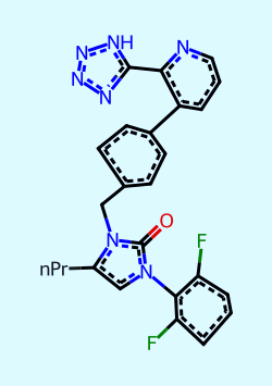 CCCc1cn(-c2c(F)cccc2F)c(=O)n1Cc1ccc(-c2cccnc2-c2nnn[nH]2)cc1